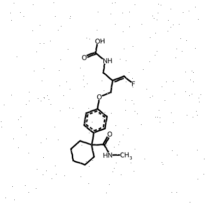 CNC(=O)C1(c2ccc(OC/C(=C\F)CNC(=O)O)cc2)CCCCC1